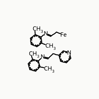 Cc1cccc(C)c1N=CCc1cccnc1.Cc1cccc(C)c1N=C[CH2][Fe]